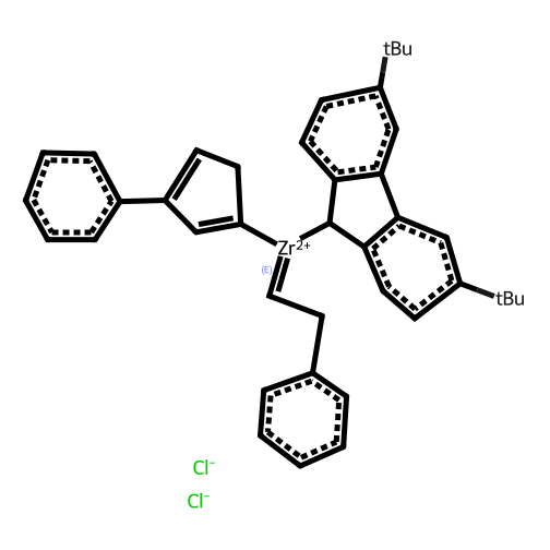 CC(C)(C)c1ccc2c(c1)-c1cc(C(C)(C)C)ccc1[CH]2/[Zr+2](=[CH]\Cc1ccccc1)[C]1=CC(c2ccccc2)=CC1.[Cl-].[Cl-]